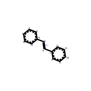 [c]1cc[c]c(/C=C/c2ccccc2)c1